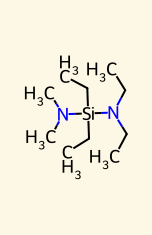 CCN(CC)[Si](CC)(CC)N(C)C